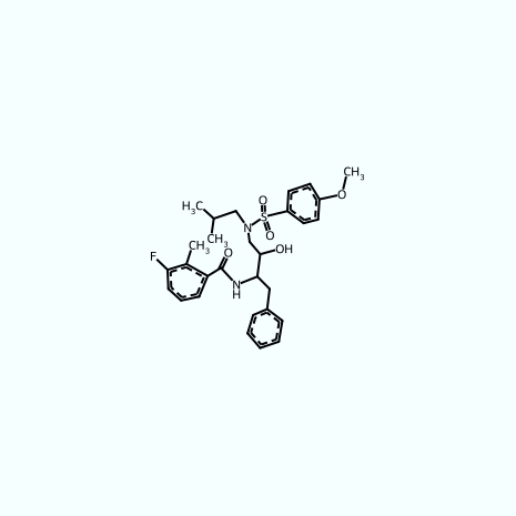 COc1ccc(S(=O)(=O)N(CC(C)C)CC(O)C(Cc2ccccc2)NC(=O)c2cccc(F)c2C)cc1